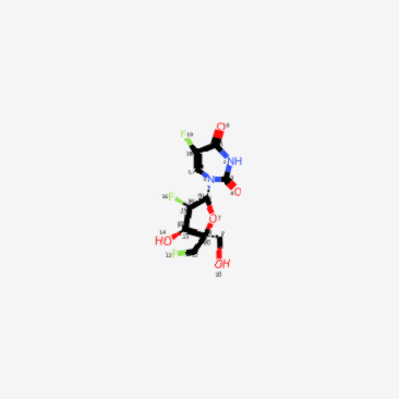 O=c1[nH]c(=O)n([C@@H]2O[C@@](CO)(CF)[C@@H](O)[C@H]2F)cc1F